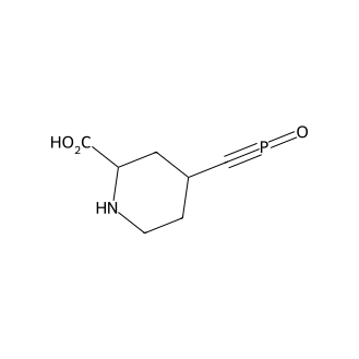 O=P#CC1CCNC(C(=O)O)C1